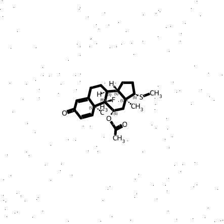 CS[C@H]1CC[C@H]2[C@@H]3CCC4=CC(=O)C=C[C@]4(C)[C@@]3(F)[C@@H](OC(C)=O)C[C@]12C